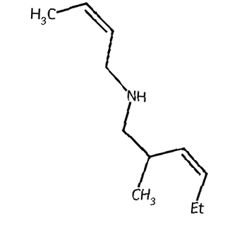 C/C=C\CNCC(C)/C=C\CC